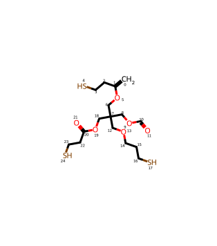 C=C(CCS)OCC(COC=O)(COCCCS)COC(=O)CCS